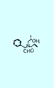 C=CCN(C[C@@H](C)O)[C@H](C=O)c1ccccc1